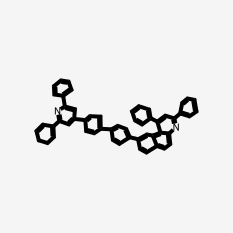 C1=CC(c2cc(-c3ccc(-c4ccc(-c5ccc6ccc7nc(-c8ccccc8)cc(-c8ccccc8)c7c6c5)cc4)cc3)cc(-c3ccccc3)n2)=CCC1